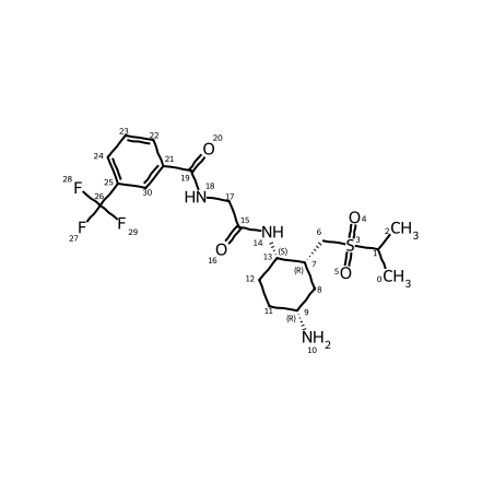 CC(C)S(=O)(=O)C[C@@H]1C[C@H](N)CC[C@@H]1NC(=O)CNC(=O)c1cccc(C(F)(F)F)c1